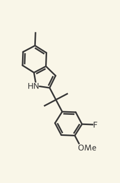 COc1ccc(C(C)(C)c2cc3cc(C)ccc3[nH]2)cc1F